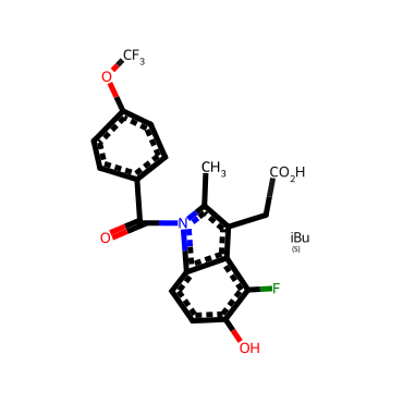 CC[C@H](C)C(C(=O)O)c1c(C)n(C(=O)c2ccc(OC(F)(F)F)cc2)c2ccc(O)c(F)c12